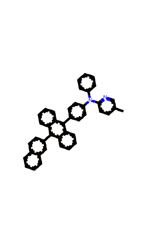 Cc1ccc(N(c2ccccc2)c2ccc(-c3c4ccccc4c(-c4ccc5ccccc5c4)c4ccccc34)cc2)nc1